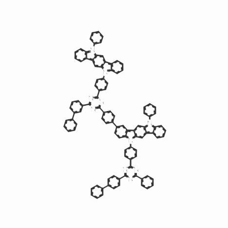 c1ccc(-c2ccc(-c3nc(-c4ccccc4)nc(-c4ccc(-n5c6ccc(-c7ccc(-c8nc(-c9ccc(-n%10c%11ccccc%11c%11cc%12c(cc%11%10)c%10ccccc%10n%12-c%10ccccc%10)cc9)nc(-c9cccc(-c%10ccccc%10)c9)n8)cc7)cc6c6cc7c(cc65)c5ccccc5n7-c5ccccc5)cc4)n3)cc2)cc1